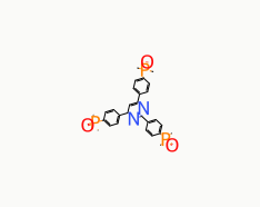 CP(C)(=O)c1ccc(-c2cc(-c3ccc(P(C)(C)=O)cc3)nc(-c3ccc(P(C)(C)=O)cc3)n2)cc1